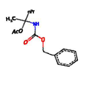 CCCC(C)(NC(=O)OCc1ccccc1)OC(C)=O